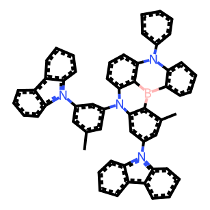 Cc1cc(N2c3cc(-n4c5ccccc5c5ccccc54)cc(C)c3B3c4ccccc4N(c4ccccc4)c4cccc2c43)cc(-n2c3ccccc3c3ccccc32)c1